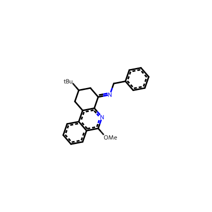 COc1nc2c(c3ccccc13)CC(C(C)(C)C)CC2=NCc1ccccc1